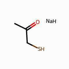 CC(=O)CS.[NaH]